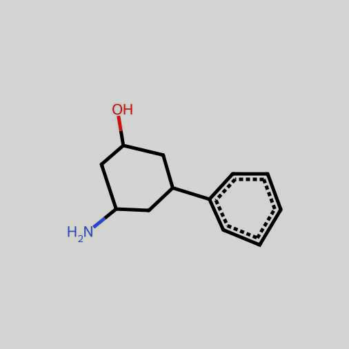 NC1CC(O)CC(c2ccccc2)C1